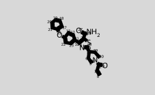 C=CC(=O)N1CCC(c2nc(-c3ccc(Oc4ccccc4)cc3)c(C(N)=O)s2)CC1